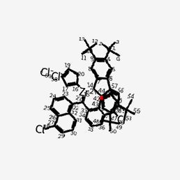 CC(C)(C)c1cc2c(cc1C(C)(C)C)[CH]([Zr+2]([C]1=CC=CC1)=[C](c1cccc3c(Cl)cccc13)c1cccc3c(Cl)cccc13)c1cc(C(C)(C)C)c(C(C)(C)C)cc1-2.[Cl-].[Cl-]